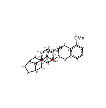 COc1cccc2c1CCN(CC(=O)N1CC3CCC(C1)N3c1ccc(C#N)cn1)C2